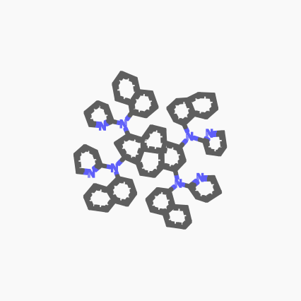 c1ccc(N(c2cccc3ccccc23)c2cc(N(c3ccccn3)c3cccc4ccccc34)c3ccc4c(N(c5ccccn5)c5cccc6ccccc56)cc(N(c5ccccn5)c5cccc6ccccc56)c5ccc2c3c54)nc1